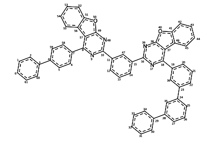 c1ccc(-c2ccc(-c3nc(-c4cccc(-c5nc(-c6cccc(-c7cccc(-c8ccccc8)c7)c6)c6c(n5)oc5ccccc56)c4)nc4oc5ccccc5c34)cc2)cc1